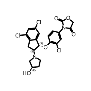 O=C1COC(=O)N1c1ccc(O[C@H]2c3cc(Cl)cc(Cl)c3C[C@@H]2N2CC[C@@H](O)C2)c(Cl)c1